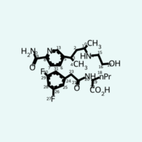 CC(CC(C)c1ccc(C(N)=O)nc1)NCCO.CCCC(NC(=O)Cc1cc(F)cc(F)c1)C(=O)O